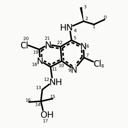 CC[C@H](C)Nc1nc(Cl)nc2c(NCC(C)(C)O)nc(Cl)nc12